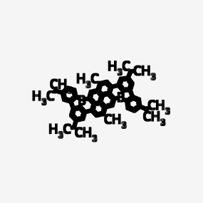 Cc1cc2c3c(cc4c(C)cc5c6c(cc1c3c46)B1c3ccc(C(C)C)cc3-c3cc(C(C)C)cc-5c31)B1c3ccc(C(C)C)cc3-c3cc(C(C)C)cc-2c31